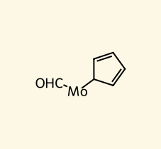 O=[CH][Mo][CH]1C=CC=C1